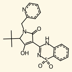 CC(C)(C)C1C(O)=C(C2=NS(=O)(=O)c3ccccc3N2)C(=O)N1Cc1ccccn1